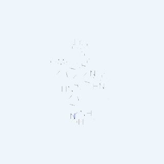 C=Cc1cc(C(=O)Nc2ccc(/C(N)=N/O)cc2)c(-c2ccc(C(=O)NCC3CC3)nc2C(=O)OC(C)OC(=O)OC(C)C)cc1OC